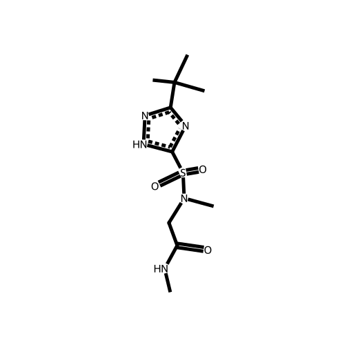 CNC(=O)CN(C)S(=O)(=O)c1nc(C(C)(C)C)n[nH]1